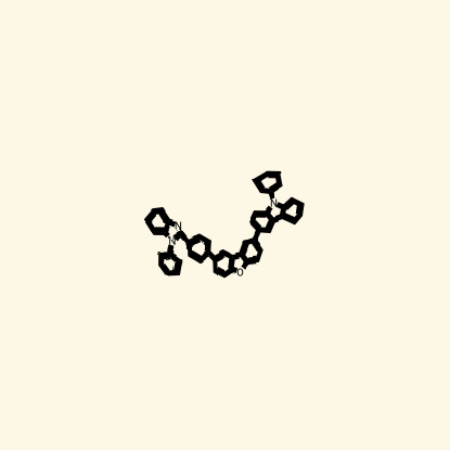 c1ccc(-n2c(-c3ccc(-c4ccc5oc6ccc(-c7ccc8c(c7)c7ccccc7n8-c7ccccc7)cc6c5c4)cc3)nc3ccccc32)cc1